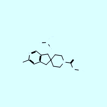 Cc1cc2c(cn1)[C@H](N[S@+]([O-])C(C)(C)C)C1(CCN(C(=O)OC(C)(C)C)CC1)C2